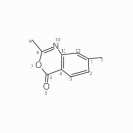 Cc1ccc2c(=O)oc(C)nc2c1